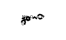 CN1CCCN(CCCOc2ccc(C3(C(C)(C)N)CCOCC3)cc2)CC1